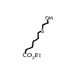 CCOC(=O)CCCCCSCCO